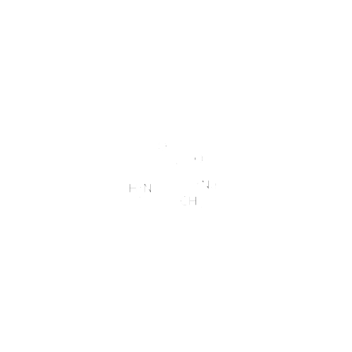 C[C@H](N)C(=O)[O-].[Na+]